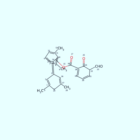 CC1=CC(=C2Cc3cc(C)c(c(C)c3)C2OC(=O)C2=CC=CC(C=O)C2=O)C=C(C)[C]1